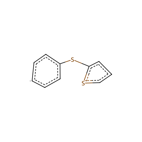 [c]1ccc(Sc2cccs2)cc1